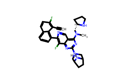 C#Cc1c(F)ccc2cccc(-c3ncc4c(N(C)C[C@@H]5CCCN5)nc(N5CC6CCC(C5)N6C)nc4c3F)c12